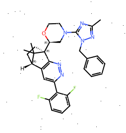 Cc1nc(N2CCO[C@H]([C@@]34CC[C@@H](c5cc(-c6c(F)cccc6F)nnc53)C4(C)C)C2)n(Cc2ccccc2)n1